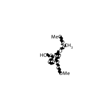 COCCOCCOC(C1COC(COCCN(C)COCCOC)=CN1COCCO)N1CCOCC1